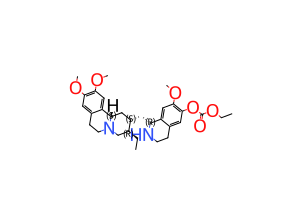 CCOC(=O)Oc1cc2c(cc1OC)[C@@H](C[C@H]1C[C@H]3c4cc(OC)c(OC)cc4CCN3C[C@@H]1CC)NCC2